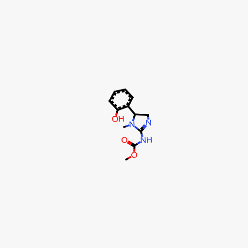 COC(=O)NC1=NCC(c2ccccc2O)N1C